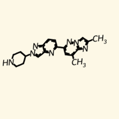 Cc1cn2nc(-c3ccc4nn(C5CCNCC5)cc4n3)cc(C)c2n1